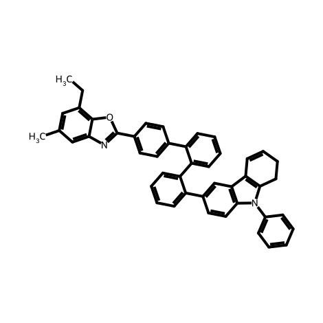 CCc1cc(C)cc2nc(-c3ccc(-c4ccccc4-c4ccccc4-c4ccc5c(c4)c4c(n5-c5ccccc5)CCC=C4)cc3)oc12